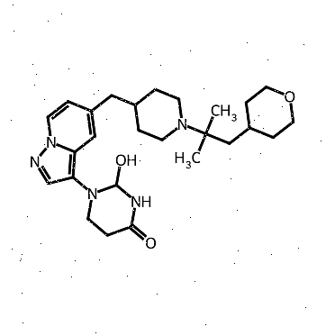 CC(C)(CC1CCOCC1)N1CCC(Cc2ccn3ncc(N4CCC(=O)NC4O)c3c2)CC1